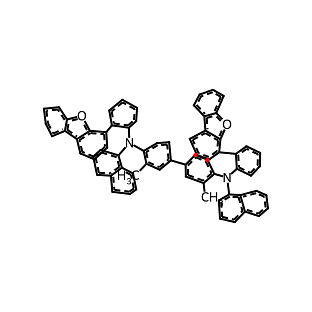 Cc1cc(-c2ccc(N(c3ccccc3-c3cccc4c3oc3ccccc34)c3cccc4ccccc34)c(C)c2)ccc1N(c1ccccc1-c1cccc2c1oc1ccccc12)c1cccc2ccccc12